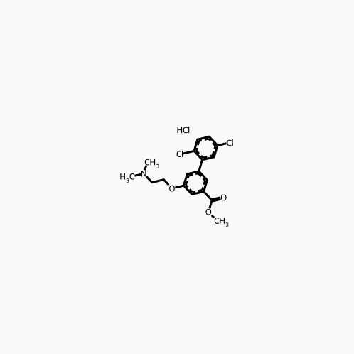 COC(=O)c1cc(OCCN(C)C)cc(-c2cc(Cl)ccc2Cl)c1.Cl